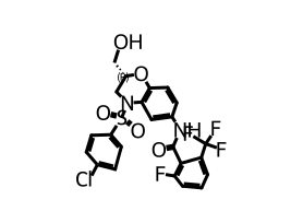 O=C(Nc1ccc2c(c1)N(S(=O)(=O)c1ccc(Cl)cc1)C[C@H](CO)O2)c1c(F)cccc1C(F)(F)F